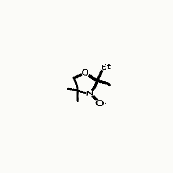 CCC1(C)OCC(C)(C)N1[O]